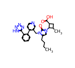 CCCCc1cn(C2C(C)CC2C(=O)O)c(=O)n1Cc1cnccc1-c1ccccc1-c1nnn[nH]1